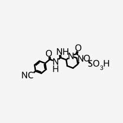 N#Cc1ccc(C(=O)NC(=N)C2CCC3CN2C(=O)N3OS(=O)(=O)O)cc1